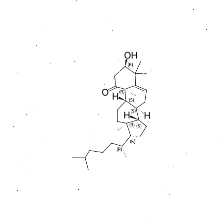 CC(C)CCC[C@@H](C)[C@H]1CC[C@H]2[C@@H]3CC=C4C(C)(C)[C@H](O)CC(=O)[C@]4(C)[C@H]3CC[C@]12C